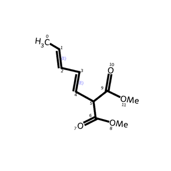 C/C=C/C=C/C(C(=O)OC)C(=O)OC